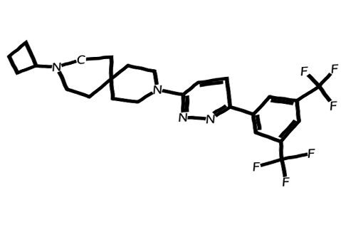 FC(F)(F)c1cc(-c2ccc(N3CCC4(CC3)CCN(C3CCC3)CC4)nn2)cc(C(F)(F)F)c1